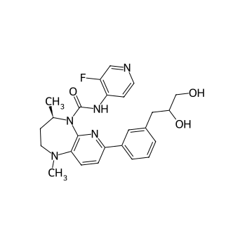 C[C@@H]1CCN(C)c2ccc(-c3cccc(CC(O)CO)c3)nc2N1C(=O)Nc1ccncc1F